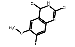 COc1cc2c(cc1I)N=C(Cl)NC2Cl